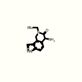 CC(C)(C)CN1Cc2c(ccc3[nH]ncc23)C(N)C1=O